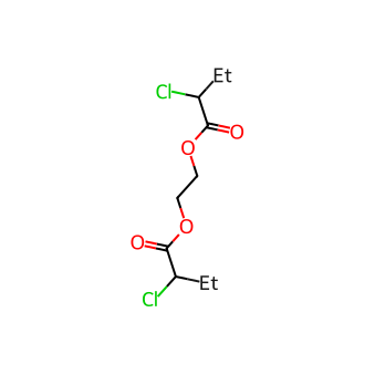 CCC(Cl)C(=O)OCCOC(=O)C(Cl)CC